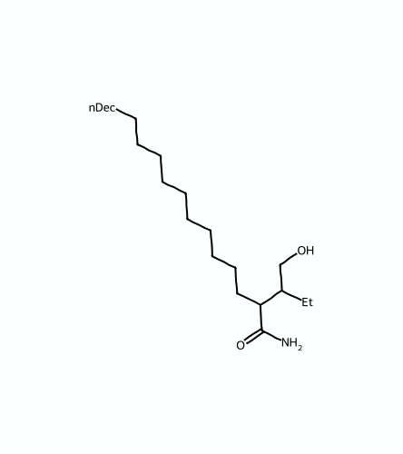 CCCCCCCCCCCCCCCCCCCCC(C(N)=O)C(CC)CO